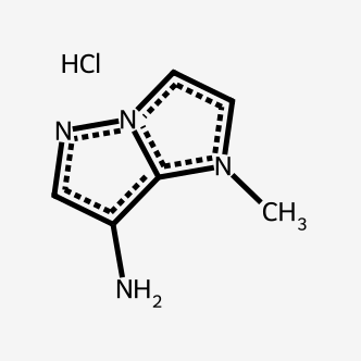 Cl.Cn1ccn2ncc(N)c12